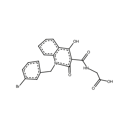 O=C(O)CNC(=O)c1c(O)c2ccccc2n(Cc2cccc(Br)c2)c1=O